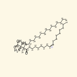 CCCCCCCC/C=C\CCCCCCCC(=O)C(C)(CCCCCCCCCCCCCCCC)C(N)(N)C(=O)O